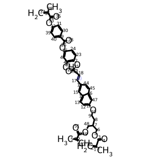 C=C(C)C(=O)OCC(CCOc1ccc2cc(/C=C/C(=O)Oc3ccc(OC(=O)c4ccc(OC(=O)C(=C)C)cc4)cc3C)ccc2c1)COC(=O)C(=C)C